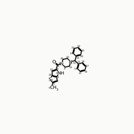 Cc1cc2[nH]c(C(=O)N3CCN(C(c4ccccc4)c4ccccc4)CC3)cc2s1